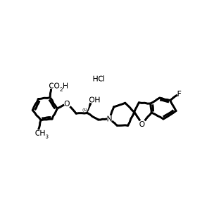 Cc1ccc(C(=O)O)c(OC[C@@H](O)CN2CCC3(CC2)Cc2cc(F)ccc2O3)c1.Cl